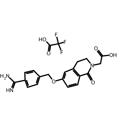 N=C(N)c1ccc(COc2ccc3c(c2)CCN(CC(=O)O)C3=O)cc1.O=C(O)C(F)(F)F